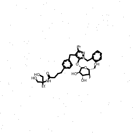 CCC(CO)(CO)NC(=O)CCCc1ccc(Cc2c(C(C)C)nn(Cc3ccccc3)c2O[C@@H]2O[C@H](CO)[C@@H](F)[C@H](O)[C@H]2O)cc1